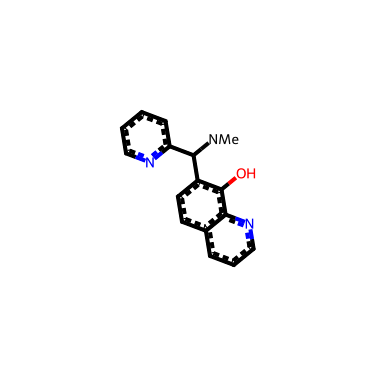 CNC(c1ccccn1)c1ccc2cccnc2c1O